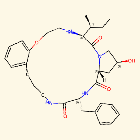 CC[C@H](C)[C@@H]1NCCOc2ccccc2CCCNC(=O)[C@@H](Cc2ccccc2)NC(=O)[C@H]2C[C@H](O)CN2C1=O